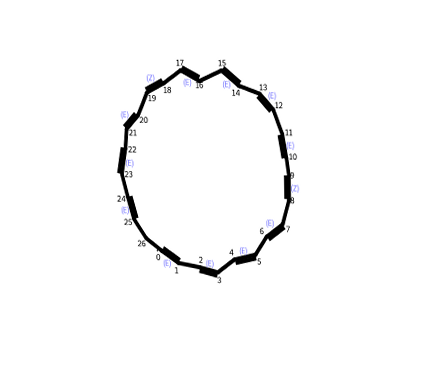 [C]1=C/C=C/C=C/C=C/C=C\C=C\C=C\C=C\C=C\C=C/C=C/C=C/C=C/C/1